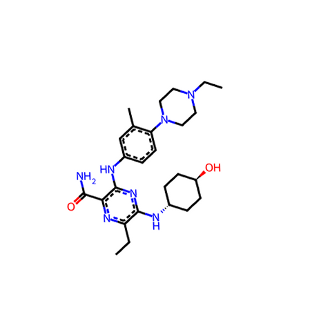 CCc1nc(C(N)=O)c(Nc2ccc(N3CCN(CC)CC3)c(C)c2)nc1N[C@H]1CC[C@H](O)CC1